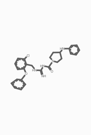 N=C(NCc1c(Cl)cccc1Oc1ccccc1)NC(=O)N1CCC(Nc2ccccc2)CC1